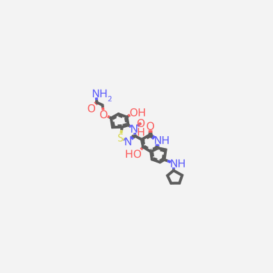 NC(=O)COc1cc(O)c2c(c1)SN=C(c1c(O)c3ccc(NC4CCCC4)cc3[nH]c1=O)N2O